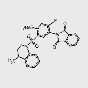 COc1cc(F)c(N2C(=O)c3ccccc3C2=O)cc1S(=O)(=O)N1CCC(C)c2ccccc21